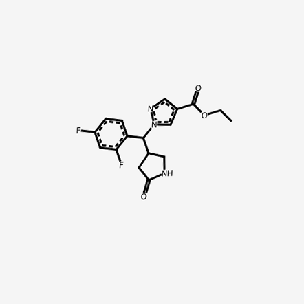 CCOC(=O)c1cnn(C(c2ccc(F)cc2F)C2CNC(=O)C2)c1